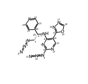 [N-]=[N+]=NC[C@@H](Nc1nc(N=[N+]=[N-])ncc1-c1nnco1)c1ccccc1